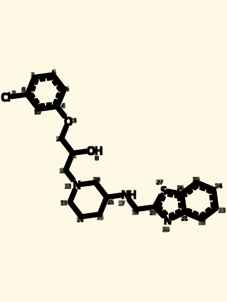 OC(COc1cccc(Cl)c1)CN1CCCC(NCc2nc3ccccc3s2)C1